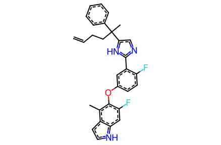 C=CCCC(C)(c1ccccc1)c1cnc(-c2cc(Oc3c(F)cc4[nH]ccc4c3C)ccc2F)[nH]1